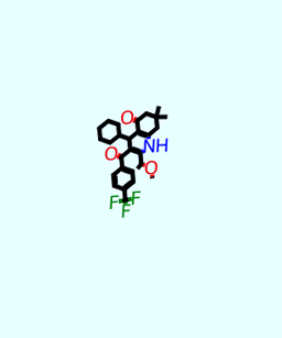 COC(C)C1=C(C(=O)c2ccc(C(F)(F)F)cc2)C(C2CCCCC2)C2=C(CC(C)(C)CC2=O)N1